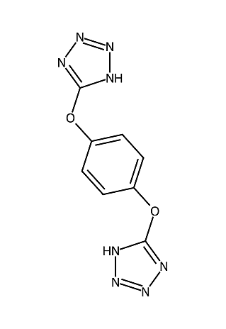 c1cc(Oc2nnn[nH]2)ccc1Oc1nnn[nH]1